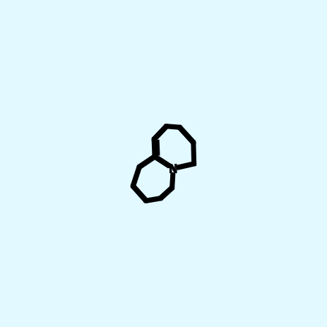 C1=C2CCCCCN2CCCC1